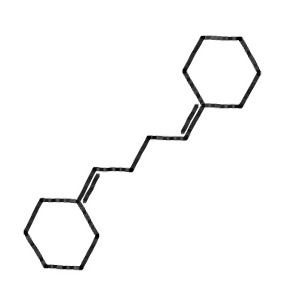 C(CCC=C1CCCCC1)=C1CCCCC1